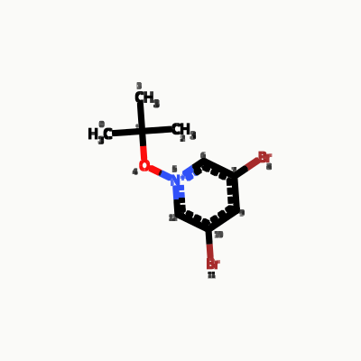 CC(C)(C)O[n+]1cc(Br)cc(Br)c1